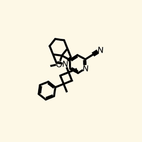 COC1(c2ccnc(C#N)c2)C2CCCC1CN(C1(C)CC(C)(c3ccccc3)C1)C2